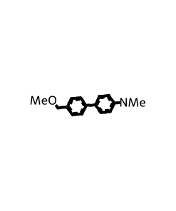 CNc1ccc(-c2ccc(COC)cc2)cc1